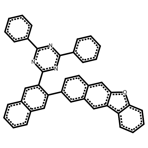 c1ccc(-c2nc(-c3ccccc3)nc(-c3cc4ccccc4cc3-c3ccc4cc5oc6ccccc6c5cc4c3)n2)cc1